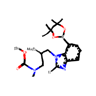 CCc1nc2cccc(B3OC(C)(C)C(C)(C)O3)c2n1CC(CN(C)C(=O)OC(C)(C)C)OC